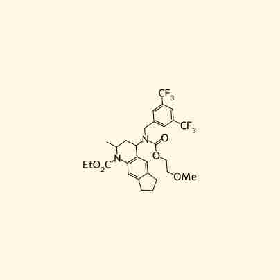 CCOC(=O)N1c2cc3c(cc2C(N(Cc2cc(C(F)(F)F)cc(C(F)(F)F)c2)C(=O)OCCOC)CC1C)CCC3